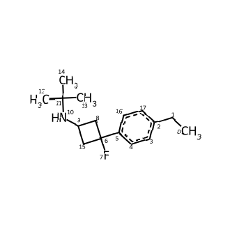 CCc1ccc(C2(F)CC(NC(C)(C)C)C2)cc1